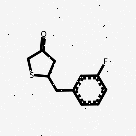 O=C1CSC(Cc2cccc(F)c2)C1